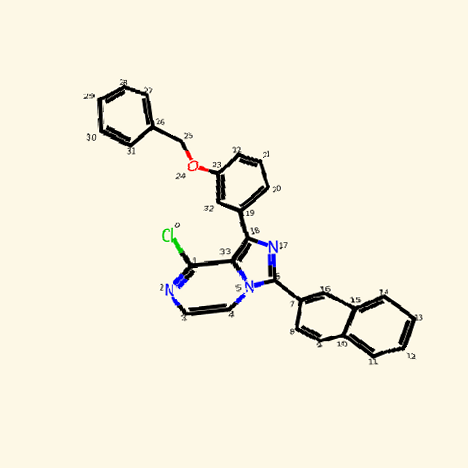 Clc1nccn2c(-c3ccc4ccccc4c3)nc(-c3cccc(OCc4ccccc4)c3)c12